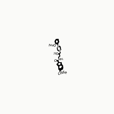 COc1ccccc1N1CCN(C[C@H](O)CCNC(=O)C2CC3C4CC(OC)C(C4)C3C2)CC1